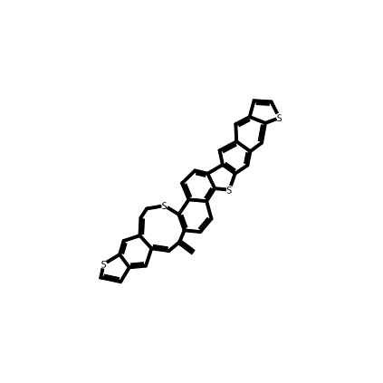 C=C1/C=c2/cc3ccsc3c/c2=C/CSc2c1ccc1c2ccc2c3cc4cc5ccsc5cc4cc3sc12